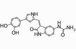 NC(=O)Nc1ccc2c(c1)C(=Cc1cc(-c3ccc(O)c(O)c3)c[nH]1)C(=O)N2